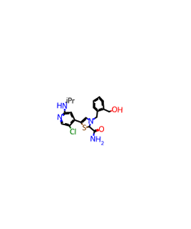 CC(C)Nc1cc(C2=CN(Cc3ccccc3CO)C(C(N)=O)S2)c(Cl)cn1